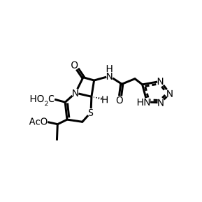 CC(=O)OC(C)C1=C(C(=O)O)N2C(=O)C(NC(=O)Cc3nnn[nH]3)[C@H]2SC1